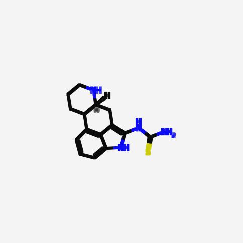 NC(=S)Nc1[nH]c2cccc3c2c1C[C@H]1NCCCC31